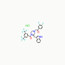 Cl.O=C(CN1CCN(C(=O)c2cc(C(F)(F)F)cc(C(F)(F)F)c2)[C@H](Cc2c[nH]c3ccccc23)C1)c1ccc(F)c(F)c1